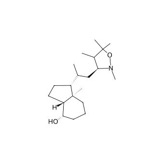 CC(C[C@H]1C(C)C(C)(C)ON1C)[C@H]1CC[C@H]2[C@@H](O)CCC[C@]12C